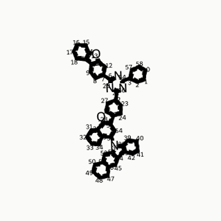 c1ccc(-c2nc(-c3ccc4c(c3)oc3ccccc34)nc(-c3ccc4c(c3)oc3c5ccccc5c(-n5c6ccccc6c6cc7ccccc7cc65)cc43)n2)cc1